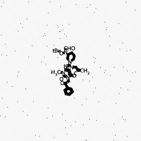 C=C(C)Cn1c(N2CCCC(N(C=O)OC(C)(C)C)C2)nc2c1c(=O)n(CC(=O)c1ccccc1)c(=O)n2C